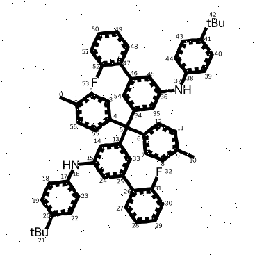 Cc1ccc(C(c2ccc(C)cc2)(c2cc(Nc3ccc(C(C)(C)C)cc3)cc(-c3ccccc3F)c2)c2cc(Nc3ccc(C(C)(C)C)cc3)cc(-c3ccccc3F)c2)cc1